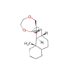 C[C@]12CCCCC1CC[C@H]1[C@@H]3CCC4OCCOC[C@@]43CC[C@@H]12